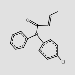 CC=CC(=O)N(c1ccccc1)c1ccc(Cl)cc1